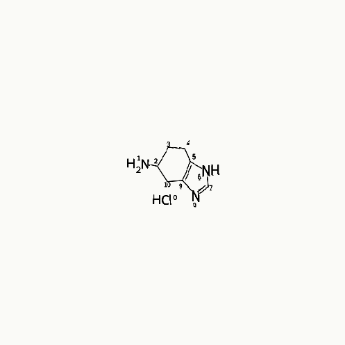 Cl.NC1CCc2[nH]cnc2C1